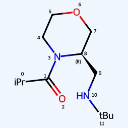 CC(C)C(=O)N1CCOC[C@H]1CNC(C)(C)C